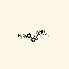 COc1cccc(-c2cccc3c2CC(C(=O)N=C(N)N)S3)c1